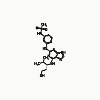 CC(C)[C@@H](CCO)Nc1nc(Nc2cccc(NS(C)(=O)=O)c2)nc2[nH]cnc12